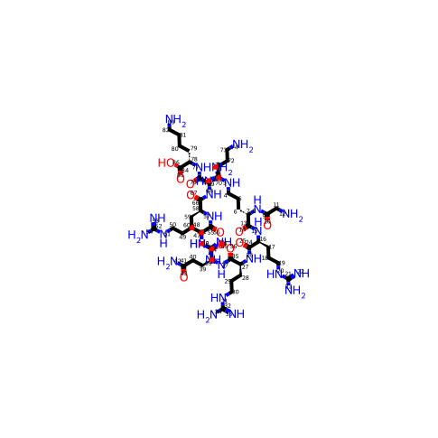 N=C(N)NCCC[C@H](NC(=O)CN)C(=O)N[C@@H](CCCNC(=N)N)C(=O)N[C@@H](CCCNC(=N)N)C(=O)N[C@@H](CCC(N)=O)C(=O)N[C@@H](CCCNC(=N)N)C(=O)N[C@@H](CCCNC(=N)N)C(=O)N[C@@H](CCCCN)C(=O)N[C@@H](CCCCN)C(=O)O